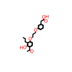 CCCc1c(OCCCOc2cccc(CC(=O)O)c2)ccc(C(C)=O)c1O